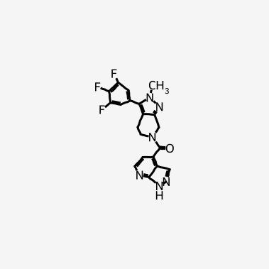 Cn1nc2c(c1-c1cc(F)c(F)c(F)c1)CCN(C(=O)c1ccnc3[nH]ncc13)C2